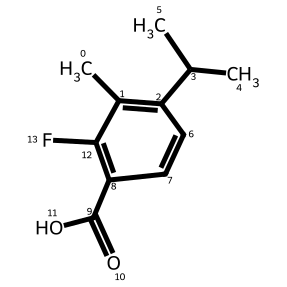 Cc1c(C(C)C)ccc(C(=O)O)c1F